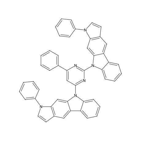 c1ccc(-c2cc(-n3c4ccccc4c4cc5ccn(-c6ccccc6)c5cc43)nc(-n3c4ccccc4c4cc5ccn(-c6ccccc6)c5cc43)n2)cc1